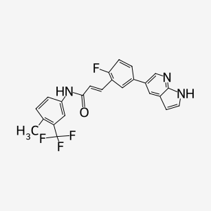 Cc1ccc(NC(=O)/C=C/c2cc(-c3cnc4[nH]ccc4c3)ccc2F)cc1C(F)(F)F